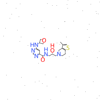 Cc1csc2c1CN(C[C@@H](O)CNC(=O)c1cc(NC3COC3)ncn1)CC2